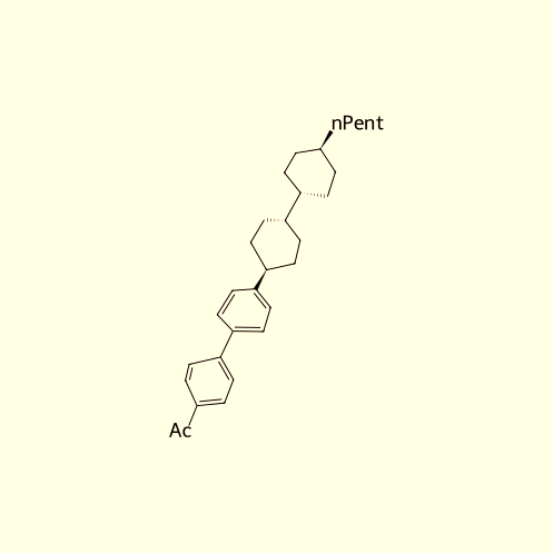 CCCCC[C@H]1CC[C@H]([C@H]2CC[C@H](c3ccc(-c4ccc(C(C)=O)cc4)cc3)CC2)CC1